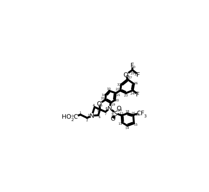 O=C(O)CCN1CC2(C1)CN(S(=O)(=O)c1cccc(C(F)(F)F)c1)c1cc(-c3cc(F)cc(OC(F)F)c3)ccc1O2